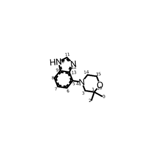 CC1(C)CN(c2cccc3[nH]cnc23)CCO1